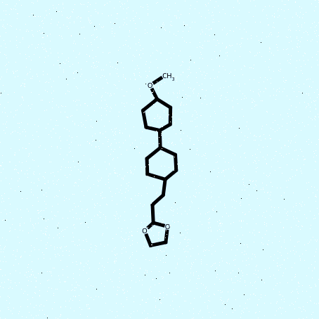 COC1CCC(C2CCC(CCC3OCCO3)CC2)CC1